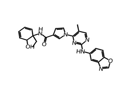 CCC1(NC(=O)c2ccn(-c3nc(Nc4ccc5ocnc5c4)ncc3C)c2)C=CC=CC1O